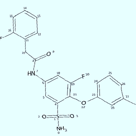 NS(=O)(=O)c1cc(NC(=O)Cc2ccccc2F)cc(F)c1Oc1cccc(Cl)c1